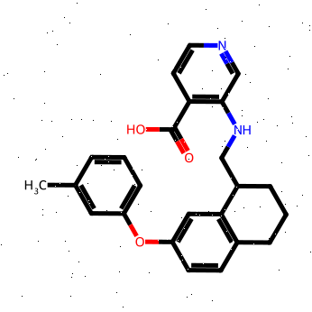 Cc1cccc(Oc2ccc3c(c2)C(CNc2cnccc2C(=O)O)CCC3)c1